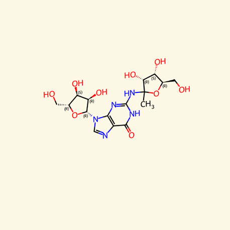 CC1(Nc2nc3c(ncn3[C@@H]3O[C@H](CO)[C@@H](O)[C@H]3O)c(=O)[nH]2)O[C@H](CO)[C@@H](O)[C@H]1O